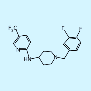 Fc1ccc(CN2CCC(Nc3ccc(C(F)(F)F)cn3)CC2)cc1F